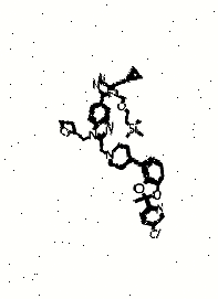 CC1(c2ccc(Cl)cn2)Oc2cccc(C3CCN(Cc4nc5cc(-c6nnc(C7CC7)n6COCC[Si](C)(C)C)ccc5n4CC4CCO4)CC3)c2O1